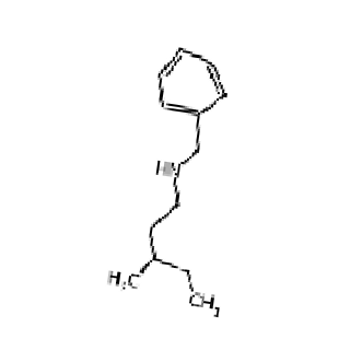 CC[C@@H](C)CCNCc1ccccc1